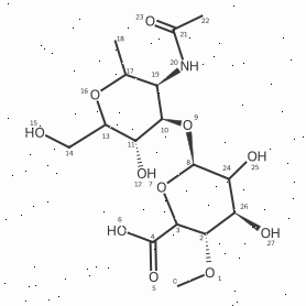 CO[C@@H]1C(C(=O)O)O[C@@H](O[C@H]2[C@H](O)C(CO)OC(C)[C@H]2NC(C)=O)C(O)[C@H]1O